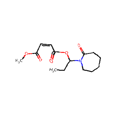 CCC(OC(=O)/C=C\C(=O)OC)N1CCCCCC1=O